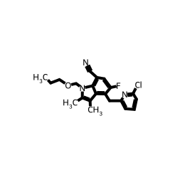 CCCOCn1c(C)c(C)c2c(Cc3cccc(Cl)n3)c(F)cc(C#N)c21